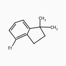 CCc1cccc2c1CCC2(C)C